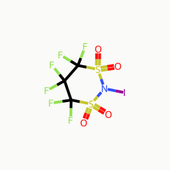 O=S1(=O)N(I)S(=O)(=O)C(F)(F)C(F)(F)C1(F)F